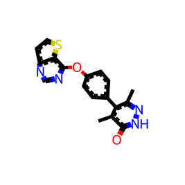 Cc1n[nH]c(=O)c(C)c1-c1ccc(Oc2ncnc3ccsc23)cc1